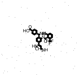 CN/C(=C\C=N)c1ccc(C(=N)c2ccc(C(=O)O)cc2)c(NC(=O)c2c(Cl)cccc2C(F)(F)F)c1